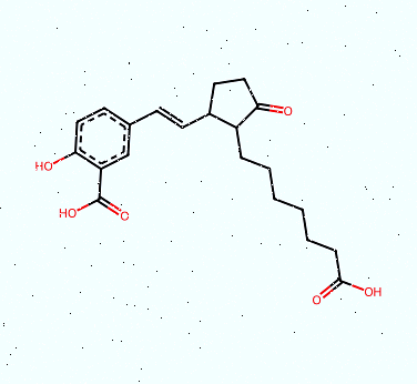 O=C(O)CCCCCCC1C(=O)CCC1/C=C/c1ccc(O)c(C(=O)O)c1